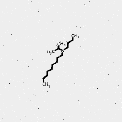 CCCCCCCCCN(CCCC)C(C)C